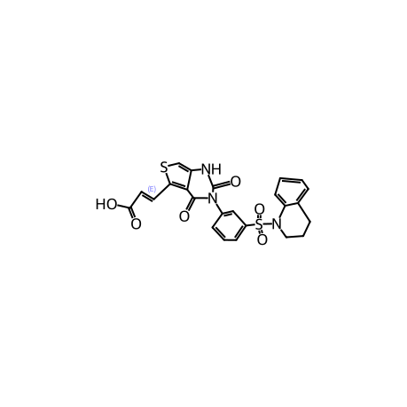 O=C(O)/C=C/c1scc2[nH]c(=O)n(-c3cccc(S(=O)(=O)N4CCCc5ccccc54)c3)c(=O)c12